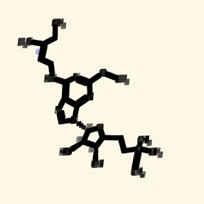 C=P(C)(C)CCC1O[C@@H](n2cnc3c(NC/C=C(/C)CC)nc(OC)nc32)[C@H](O)[C@@H]1O